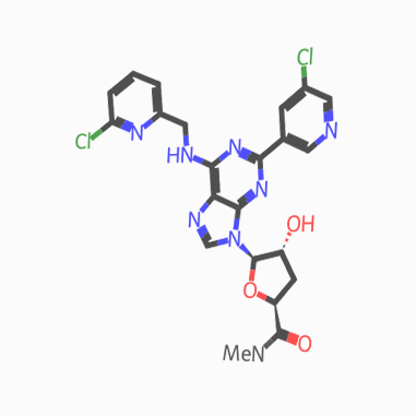 CNC(=O)[C@@H]1C[C@@H](O)[C@H](n2cnc3c(NCc4cccc(Cl)n4)nc(-c4cncc(Cl)c4)nc32)O1